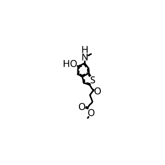 CNc1cc2sc(C(=O)CCC(=O)OC)cc2cc1O